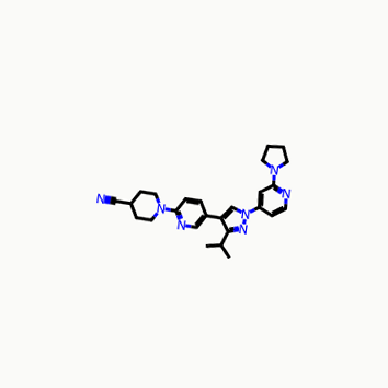 CC(C)c1nn(-c2ccnc(N3CCCC3)c2)cc1-c1ccc(N2CCC(C#N)CC2)nc1